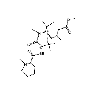 COC(=O)CN(C)C[C@H](C(C)C)N(C)C(=O)[C@@H](NC(=O)C1CCCCN1C)C(C)(C)C